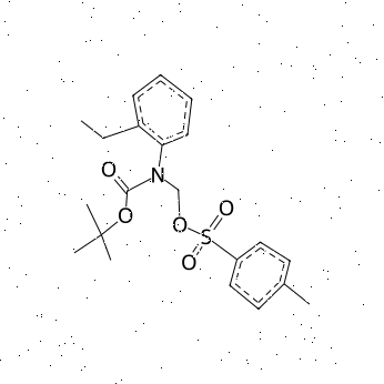 CCc1ccccc1N(COS(=O)(=O)c1ccc(C)cc1)C(=O)OC(C)(C)C